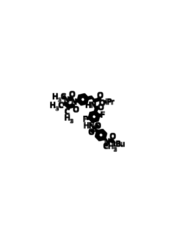 Cc1c(C)n(C)c(=O)n(-c2ccc(C[C@H](NC(=O)c3cc(F)c(NS(=O)(=O)c4ccc(N(C)C(=O)C(C)(C)C)cc4)cc3F)C(=O)OC(C)C)cc2)c1=O